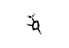 O=[N+]([O-])c1c[c]c(Br)cc1F